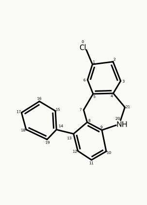 Clc1ccc2c(c1)Cc1c(cccc1-c1ccccc1)NC2